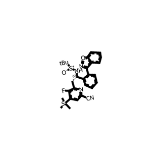 CC(C)(C)[S+]([O-])N[C@@H](Cc1nc(C#N)cc([Si](C)(C)C)c1F)c1ccccc1-c1noc2ccccc12